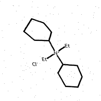 CC[N+](CC)(C1CCCCC1)C1CCCCC1.[Cl-]